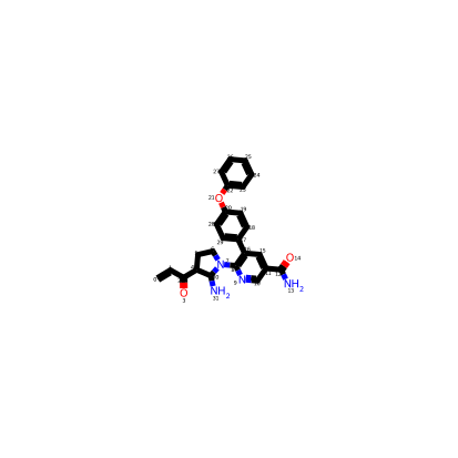 C=CC(=O)C1CCN(c2ncc(C(N)=O)cc2-c2ccc(Oc3ccccc3)cc2)C1N